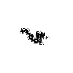 CCCc1nc(C)c2c(=O)[nH]c(-c3cc(Cc4ccc(/C=C/C(=O)NO)cc4)ccc3OCC)nn12